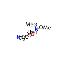 COCCN(CCOC)C1CCC2=CC3=CCC4(C)C(c5ccc6ccncc6c5)CC[C@H]4[C@@]34CC[C@]2(C1)O4